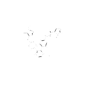 Cc1c(CN2CCN(c3nccnc3-c3ccc(CNC(=O)c4cncn4C)cc3)CC2)cnn1C.Cl